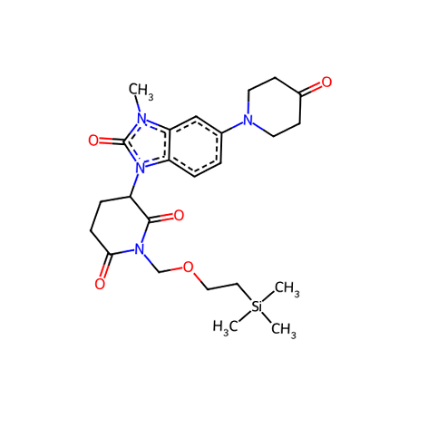 Cn1c(=O)n(C2CCC(=O)N(COCC[Si](C)(C)C)C2=O)c2ccc(N3CCC(=O)CC3)cc21